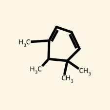 CC1=CC=CC(C)(C)C1C